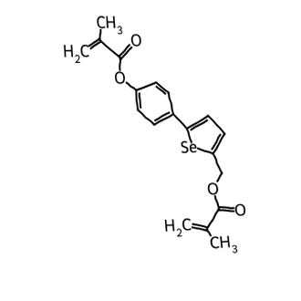 C=C(C)C(=O)OCc1ccc(-c2ccc(OC(=O)C(=C)C)cc2)[se]1